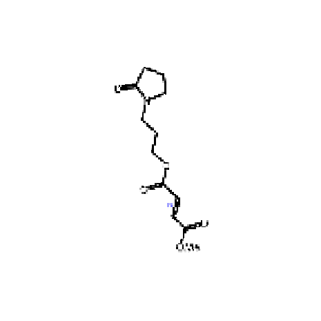 COC(=O)/C=C/C(=O)OCCCN1CCCC1=O